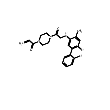 C=CC(=O)N1CCN(C(=O)CNc2cc(-c3ccccc3Cl)c(Cl)cc2C)CC1